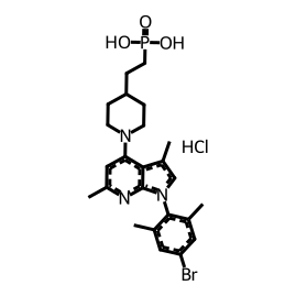 Cc1cc(N2CCC(CCP(=O)(O)O)CC2)c2c(C)cn(-c3c(C)cc(Br)cc3C)c2n1.Cl